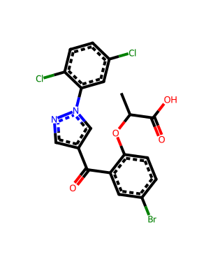 CC(Oc1ccc(Br)cc1C(=O)c1cnn(-c2cc(Cl)ccc2Cl)c1)C(=O)O